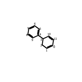 [C]1=CCC(c2ccccc2)C=C1